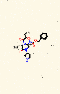 CC(C)C[C@H]1ON(C(=O)OCc2ccccc2)[C@H]2CN([C@@H]3CCNC3)C(=O)[C@H](CC(C)(C)C)N2C1=O